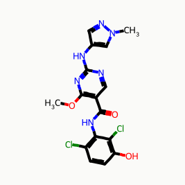 COc1nc(Nc2cnn(C)c2)ncc1C(=O)Nc1c(Cl)ccc(O)c1Cl